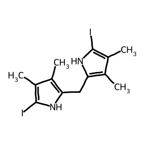 Cc1c(I)[nH]c(Cc2[nH]c(I)c(C)c2C)c1C